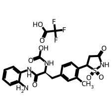 Cc1cc(C[C@H](NC(=O)O)C(=O)Nc2ccccc2N)ccc1C1CC(=O)NS1(=O)=O.O=C(O)C(F)(F)F